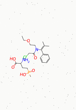 CCOCCN(C(=O)CCl)C(=C(C)C)c1ccccc1.CP(=O)(O)CCC(N)C(=O)O